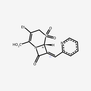 CCC1=C(C(=O)O)N2C(=O)/C(=C/c3ccccn3)[C@H]2S(=O)(=O)C1